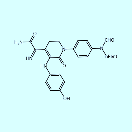 CCCCCN(C=O)c1ccc(N2CCC(C(=N)C(N)=O)=C(Nc3ccc(O)cc3)C2=O)cc1